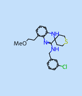 COCCc1cccc2c1N=C(NCc1cccc(Cl)c1)C1(CCSCC1)N2